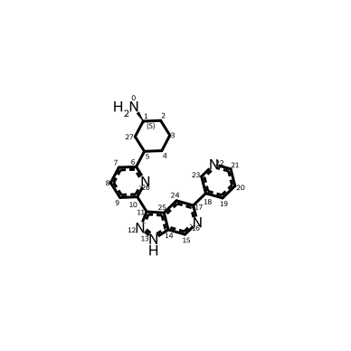 N[C@H]1CCCC(c2cccc(-c3n[nH]c4cnc(-c5cccnc5)cc34)n2)C1